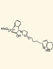 C=C(O)C(c1ccccc1[C@H]1C[C@H]1OC)N1CC[C@@H](OCCCCc2ccc3c(n2)NCCC3)C1